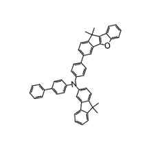 CC1(C)c2ccccc2-c2cc(N(c3ccc(-c4ccccc4)cc3)c3ccc(-c4ccc5c(c4)-c4oc6ccccc6c4C5(C)C)cc3)ccc21